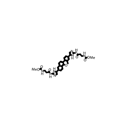 COC(=O)NCCC(=O)Pc1ncc(-c2ccc3c(c2)COc2c-3ccc3cc(-c4cnc(PC(=O)CCNC(=O)OC)[nH]4)ccc23)[nH]1